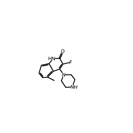 Cc1cccc2[nH]c(=O)c(F)c(N3CCNCC3)c12